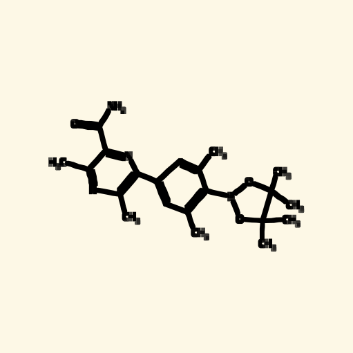 Cc1cc(-c2nc(C(N)=O)c(C)nc2C)cc(C)c1B1OC(C)(C)C(C)(C)O1